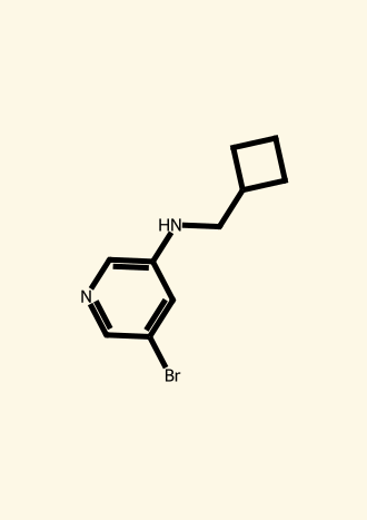 Brc1cncc(NCC2CCC2)c1